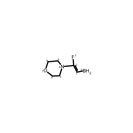 B/C=C(\F)N1CCOCC1